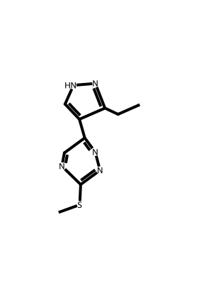 CCc1n[nH]cc1-c1cnc(SC)nn1